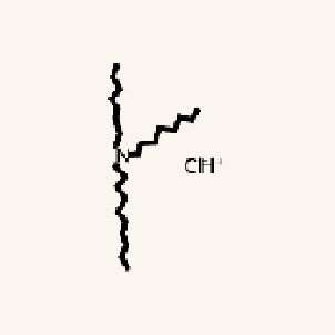 CCCCCCCCCCN(CCCCCCCC)CCCCCCCC.[Cl-].[H+]